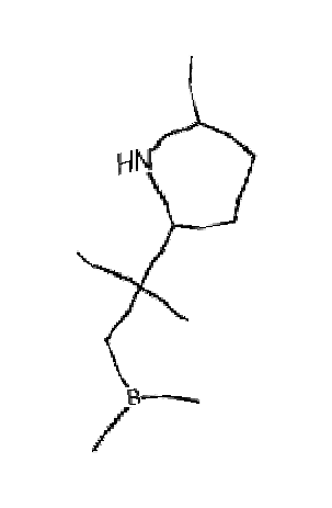 CB(C)CC(C)(C)C1CCC(C)N1